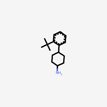 CC(C)(C)c1ccccc1C1CCC(N)CC1